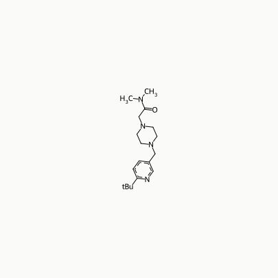 CN(C)C(=O)CN1CCN(Cc2ccc(C(C)(C)C)nc2)CC1